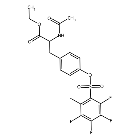 CCOC(=O)C(Cc1ccc(OS(=O)(=O)c2c(F)c(F)c(F)c(F)c2F)cc1)NC(C)=O